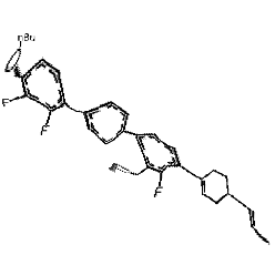 C/C=C/C1CC=C(c2ccc(-c3ccc(-c4ccc(OCCCC)c(F)c4F)cc3)c(F)c2F)CC1